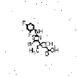 CCC(CC)(CCC(=O)O)c1nc(Nc2ccc(F)cc2F)sc1Br